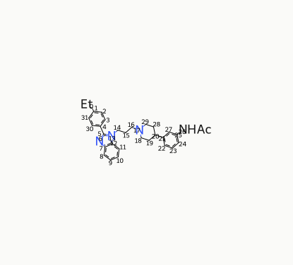 CCc1ccc(-c2nc3ccccc3n2CCCN2CCC(c3cccc(NC(C)=O)c3)CC2)cc1